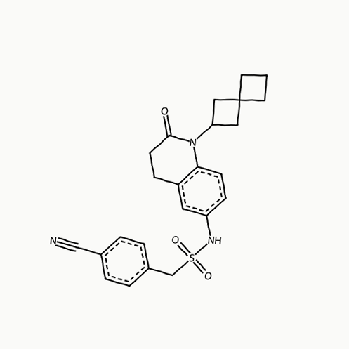 N#Cc1ccc(CS(=O)(=O)Nc2ccc3c(c2)CCC(=O)N3C2CC3(CCC3)C2)cc1